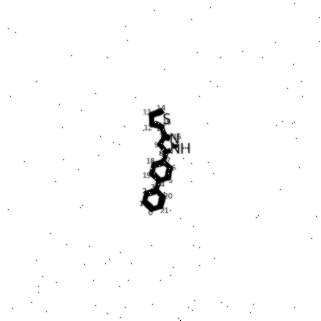 c1ccc(-c2ccc(C3CC(c4cccs4)=NN3)cc2)cc1